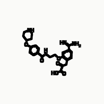 N=C(N)c1ccc(CC(=O)C(=O)O)c(OCCNC(=O)c2ccc(OC3CCNCC3)cc2)c1